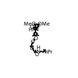 CCCN(C)CCCNC(=O)C(C)(C)CCOC(C)(C)CCOCCOc1c(C)cc(-c2nc3cc(OC)cc(OC)c3c(=O)[nH]2)cc1C